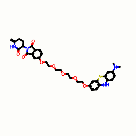 C=C1CCC(N2C(=O)c3ccc(OCCOCCOCCOCCOc4ccc5c(c4)Sc4cc(N(C)C)ccc4N5)cc3C2=O)C(=O)N1